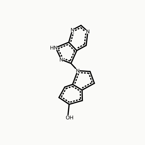 Oc1ccc2c(ccn2-c2n[nH]c3ncncc23)c1